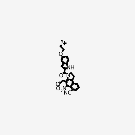 CN(C)CCOc1ccc2[nH]c(C(=O)N3CCc4c3c(CCl)c([N+](=O)[O-])c3c(C#N)cccc43)cc2c1